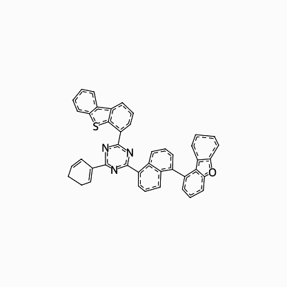 C1=CC(c2nc(-c3cccc4c(-c5cccc6oc7ccccc7c56)cccc34)nc(-c3cccc4c3sc3ccccc34)n2)=CCC1